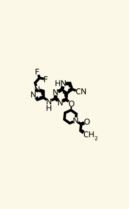 C=CC(=O)N1CCC[C@@H](Oc2nc(Nc3cnn(CC(F)F)c3)nc3[nH]cc(C#N)c23)C1